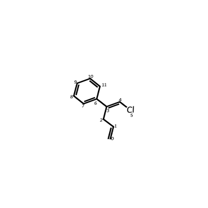 C=CCC(=CCl)c1ccccc1